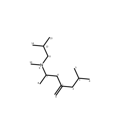 C=C(CC(C)C)CC(C)N(C)CC(C)C